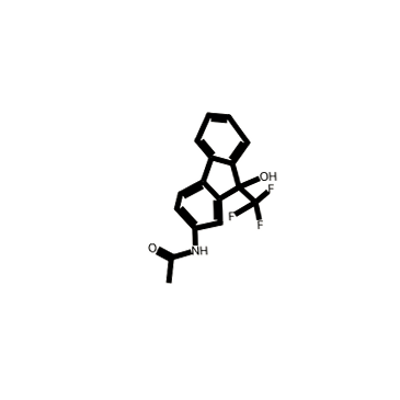 CC(=O)Nc1ccc2c(c1)C(O)(C(F)(F)F)c1ccccc1-2